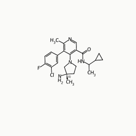 Cc1ncc(C(=O)NC(C)C2CC2)c(N2CC[C@](C)(N)C2)c1-c1ccc(F)c(Cl)c1